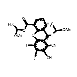 COC(C)OC(=O)c1cccc(C(=O)OC(C)OC)c1Oc1c(F)c(F)c(C#N)c(C#N)c1F